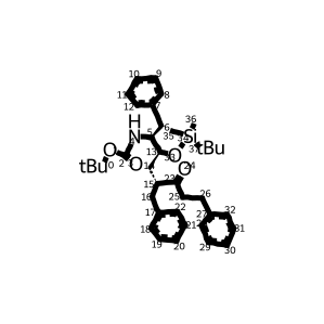 CC(C)(C)OC(=O)N[C@@H](Cc1ccccc1)[C@H](C[C@@H](Cc1ccccc1)C(=O)CCc1ccccc1)O[Si](C)(C)C(C)(C)C